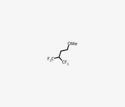 [CH2]OCCC(C(F)(F)F)C(F)(F)F